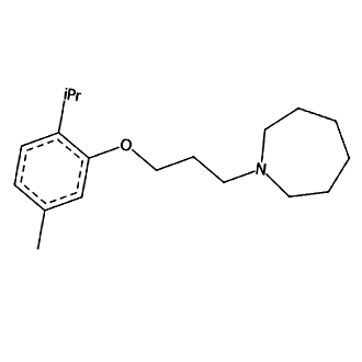 Cc1ccc(C(C)C)c(OCCCN2CCCCCC2)c1